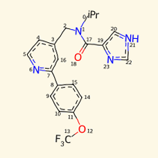 CC(C)N(Cc1ccnc(-c2ccc(OC(F)(F)F)cc2)c1)C(=O)c1c[nH]cn1